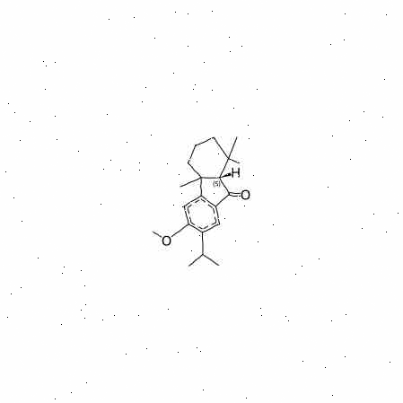 COc1cc2c(cc1C(C)C)C(=O)[C@H]1C(C)(C)CCCC21C